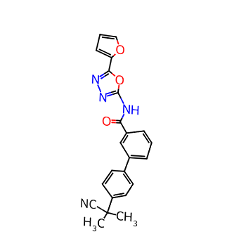 CC(C)(C#N)c1ccc(-c2cccc(C(=O)Nc3nnc(-c4ccco4)o3)c2)cc1